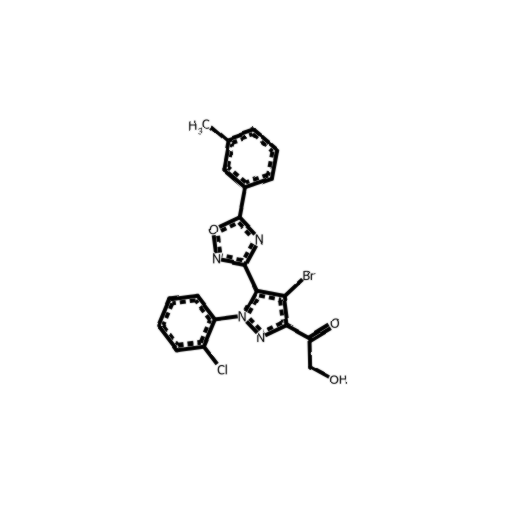 Cc1cccc(-c2nc(-c3c(Br)c(C(=O)CO)nn3-c3ccccc3Cl)no2)c1